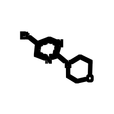 CCc1cnc(N2CCOCC2)nc1